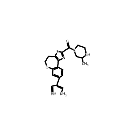 CC1CN(C(=O)c2nc3c(s2)CCOc2cc(/C(C=N)=C/N)ccc2-3)CCN1